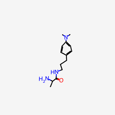 CC(N)C(=O)NCCCc1ccc(N(C)C)cc1